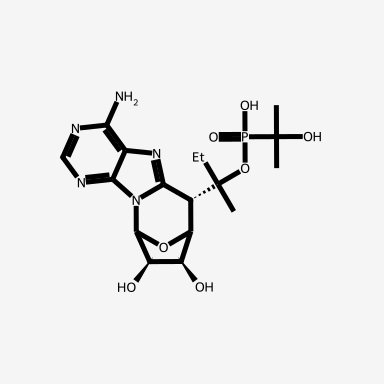 CCC(C)(OP(=O)(O)C(C)(C)O)[C@H]1c2nc3c(N)ncnc3n2C2OC1[C@@H](O)[C@H]2O